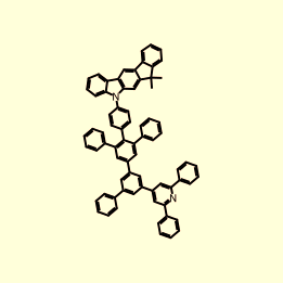 CC1(C)c2ccccc2-c2cc3c4ccccc4n(-c4ccc(-c5c(-c6ccccc6)cc(-c6cc(-c7ccccc7)cc(-c7cc(-c8ccccc8)nc(-c8ccccc8)c7)c6)cc5-c5ccccc5)cc4)c3cc21